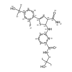 CC(C)(O)CNC(=O)c1cccc(NC2SC(c3ccc(C(C)(C)O)cc3F)=CC2C(N)=O)n1